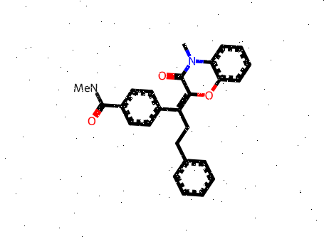 CNC(=O)c1ccc(/C(CCc2ccccc2)=C2/Oc3ccccc3N(C)C2=O)cc1